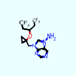 NN1CN(CC2(O[C](CC(F)(F)F)CC(F)(F)F)CC2)c2ncncc21